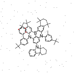 Cc1cc(C(C)(C)C)ccc1N1c2cc3c(cc2B2c4cc5c(cc4N(c4ccc(C(C)(C)C)cc4-c4ccccc4)c4cc(N6c7ccccc7C7(C)CCCCC67C)cc1c42)C(C)(C)CC5(C)C)C(C)(C)CCC3(C)C